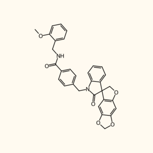 COc1ccccc1CNC(=O)c1ccc(CN2C(=O)C3(COc4cc5c(cc43)OCO5)c3ccccc32)cc1